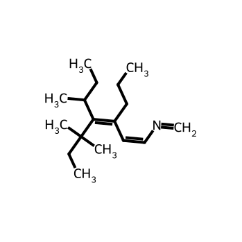 C=N/C=C\C(CCC)=C(\C(C)CC)C(C)(C)CC